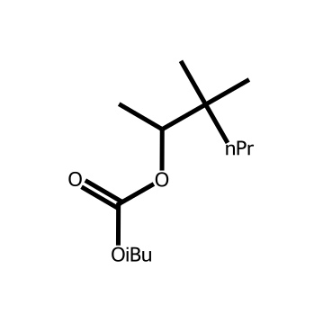 CCCC(C)(C)C(C)OC(=O)OCC(C)C